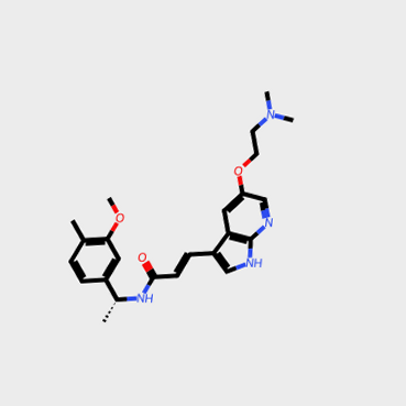 COc1cc([C@@H](C)NC(=O)/C=C/c2c[nH]c3ncc(OCCN(C)C)cc23)ccc1C